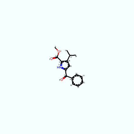 COC(=O)c1[nH]c(C(=O)c2ccccc2)cc1C(C)C